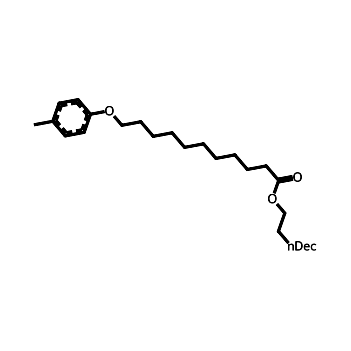 CCCCCCCCCCCCOC(=O)CCCCCCCCCCOc1ccc(C)cc1